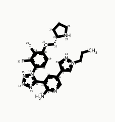 CCCn1cc(-c2cnc(N)c(-c3nnnn3-c3ccc(OC[C@@H]4CCCN4)c(F)c3F)c2)cn1